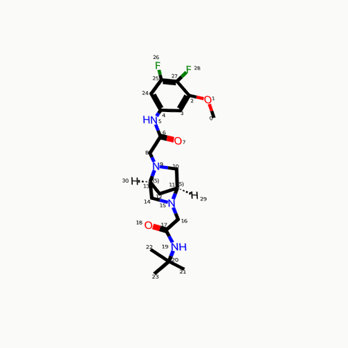 COc1cc(NC(=O)CN2C[C@@H]3C[C@H]2CN3CC(=O)NC(C)(C)C)cc(F)c1F